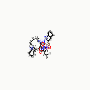 CC(C)C[C@H](CP(=O)(O)CSc1cnc2ccccc2c1)C(=O)N[C@H]1Cc2cn(c3ccccc23)CCCCCCNC1=O